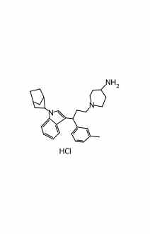 Cc1cccc(C(CCN2CCC(N)CC2)c2cn(C3CC4CCC3C4)c3ccccc23)c1.Cl